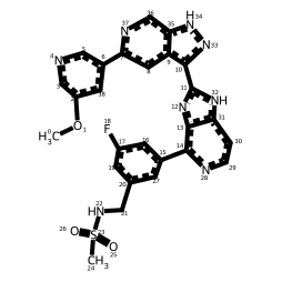 COc1cncc(-c2cc3c(-c4nc5c(-c6cc(F)cc(CNS(C)(=O)=O)c6)nccc5[nH]4)n[nH]c3cn2)c1